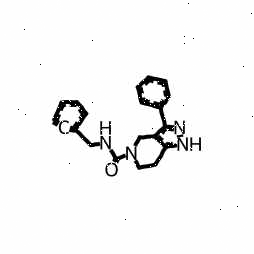 O=C(NCc1ccccc1)N1CCc2[nH]nc(-c3ccccc3)c2C1